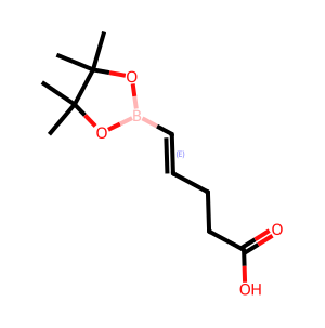 CC1(C)OB(/C=C/CCC(=O)O)OC1(C)C